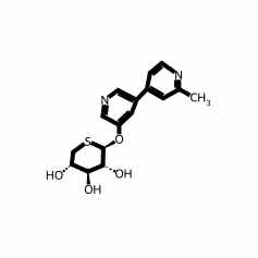 Cc1cc(-c2cncc(O[C@@H]3SC[C@@H](O)[C@H](O)[C@H]3O)c2)ccn1